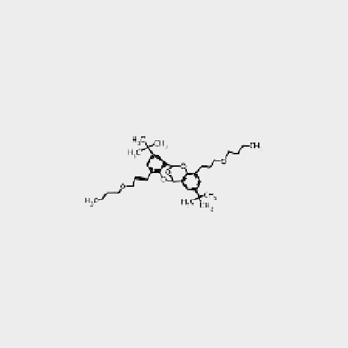 CCCCOCC=Cc1cc(C(C)(C)C)cc2c1OC1OC2Oc2c(C=CCOCCCC)cc(C(C)(C)C)cc21